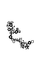 CC[C@H](C(=O)N1CCCC[C@H]1C(=O)O[C@H](CCc1ccc(OC)c(OC)c1)c1cccc(OCC(=O)NCCCNC(=O)[C@H](CC)[C@@H]2N=C(c3ccc(Cl)cc3)c3c(sc(C)c3C)-n3c(C)nnc32)c1)c1cc(OC)c(OC)c(OC)c1